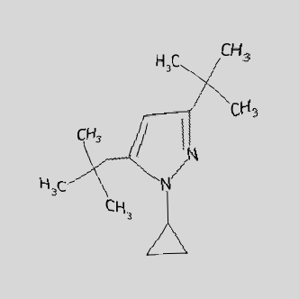 CC(C)(C)c1cc(C(C)(C)C)n(C2CC2)n1